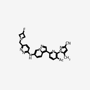 CC(=O)c1ccc(-c2cnn3cc(Nc4ccc(CN5CC(F)C5)nn4)ccc23)nc1-n1nc(C#N)cc1C